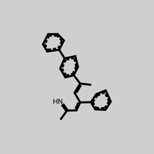 CC(=N)/C=C(\C=C(/C)c1ccc(-c2ccccc2)cc1)c1ccccc1